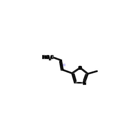 CCOC(=O)/C=C/c1cnc(C)o1